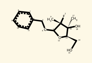 C[C@]1(F)C(OCc2ccccc2)O[C@H](CO)[C@]1(C)O